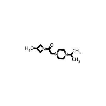 CC1CN(C(=O)CN2CCN(C(C)C)CC2)C1